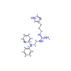 NC(=NCCCc1c[nH]cn1)NCCN(c1ccccc1)c1ccccn1